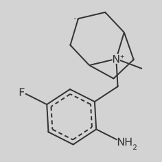 C[N+]1(Cc2cc(F)ccc2N)C2C[CH]CC1CC2